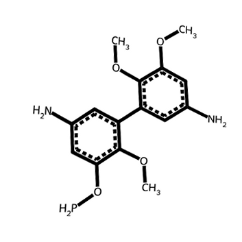 COc1cc(N)cc(-c2cc(N)cc(OP)c2OC)c1OC